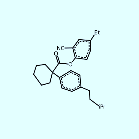 CCc1ccc(OC(=O)C2(c3ccc(CCC(C)C)cc3)CCCCC2)c(C#N)c1